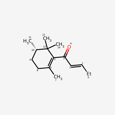 CC/C=C/C(=O)C1=C(C)CC[C@H](C)C1(C)C